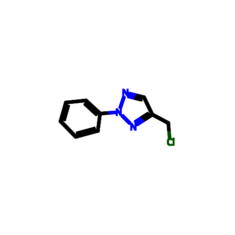 ClCc1cnn(-c2ccccc2)n1